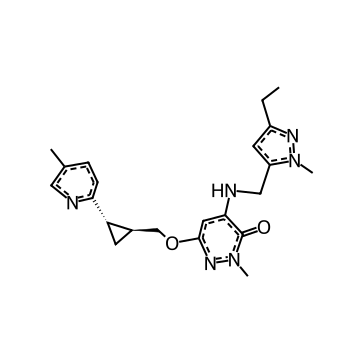 CCc1cc(CNc2cc(OC[C@H]3C[C@@H]3c3ccc(C)cn3)nn(C)c2=O)n(C)n1